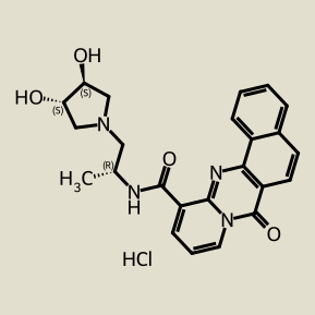 C[C@H](CN1C[C@H](O)[C@@H](O)C1)NC(=O)c1cccn2c(=O)c3ccc4ccccc4c3nc12.Cl